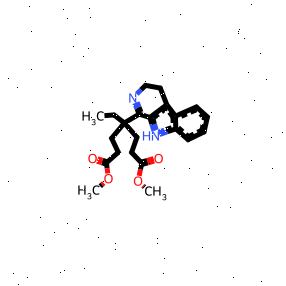 CCC(CCC(=O)OC)(CCC(=O)OC)C1=NCCc2c1[nH]c1ccccc21